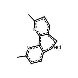 Cc1ccc2ccc3ccc(C)nc3c2n1.Cl